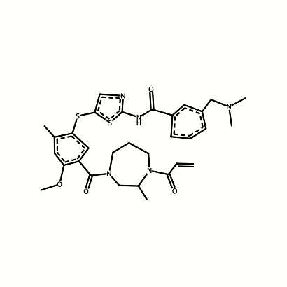 C=CC(=O)N1CCCN(C(=O)c2cc(Sc3cnc(NC(=O)c4cccc(CN(C)C)c4)s3)c(C)cc2OC)CC1C